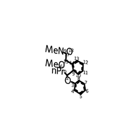 CCCC(Oc1ccccc1)c1ccccc1C(OC)C(=O)NC